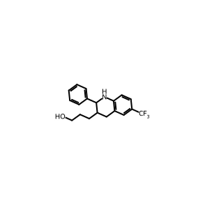 OCCCC1Cc2cc(C(F)(F)F)ccc2NC1c1ccccc1